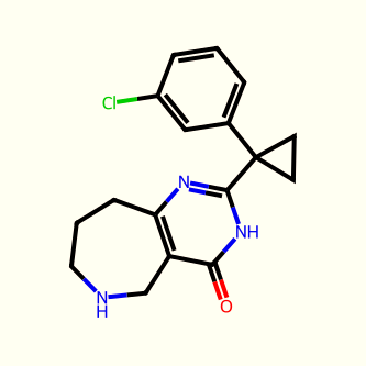 O=c1[nH]c(C2(c3cccc(Cl)c3)CC2)nc2c1CNCCC2